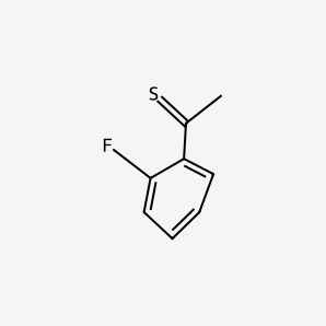 CC(=S)c1ccccc1F